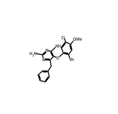 COc1cc(C(C)C)c(Oc2c(N)nc(N)nc2Cc2ccccc2)cc1Cl